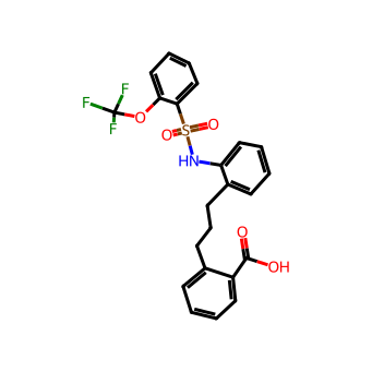 O=C(O)c1ccccc1CCCc1ccccc1NS(=O)(=O)c1ccccc1OC(F)(F)F